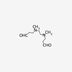 CN(CCC=O)CCN(C)CCC=O